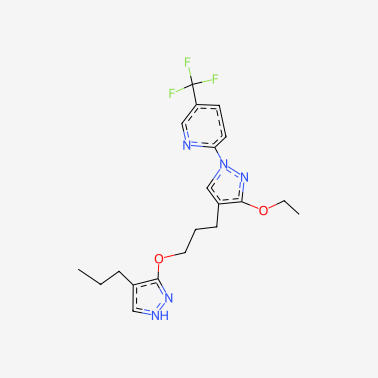 CCCc1c[nH]nc1OCCCc1cn(-c2ccc(C(F)(F)F)cn2)nc1OCC